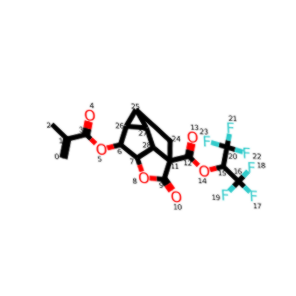 C=C(C)C(=O)OC1C2OC(=O)C3(C(=O)OC(C(F)(F)F)C(F)(F)F)CC4C1C4C23